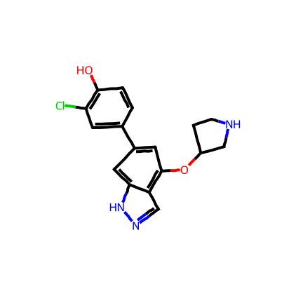 Oc1ccc(-c2cc(OC3CCNC3)c3cn[nH]c3c2)cc1Cl